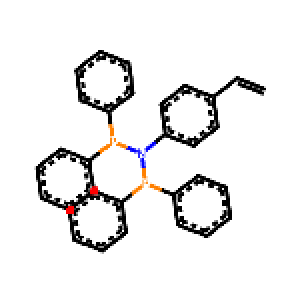 C=Cc1ccc(N(P(c2ccccc2)c2ccccc2)P(c2ccccc2)c2ccccc2)cc1